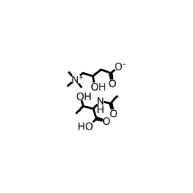 CC(=O)NC(C(=O)O)C(C)O.C[N+](C)(C)CC(O)CC(=O)[O-]